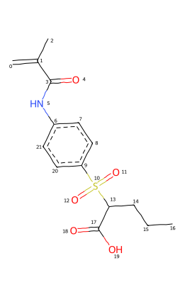 C=C(C)C(=O)Nc1ccc(S(=O)(=O)C(CCC)C(=O)O)cc1